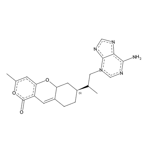 Cc1cc2c(c(=O)o1)C=C1CC[C@H](C(C)Cn3cnc(N)c4ncnc3-4)CC1O2